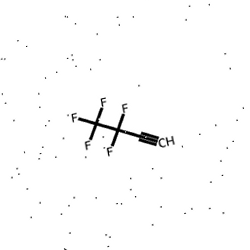 C#CC(F)(F)C(F)(F)F